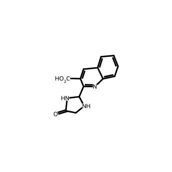 O=C1CNC(c2nc3ccccc3cc2C(=O)O)N1